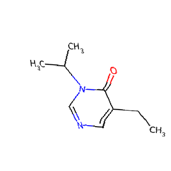 CCc1cncn(C(C)C)c1=O